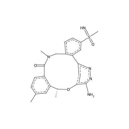 Cc1ccc2c(c1)[C@@H](C)Oc1cc(nnc1N)-c1cc(S(C)(=N)=O)ccc1CN(C)C2=O